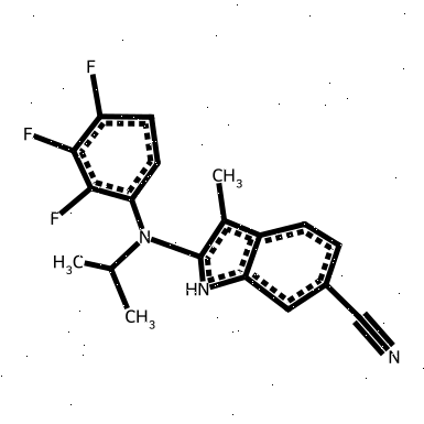 Cc1c(N(c2ccc(F)c(F)c2F)C(C)C)[nH]c2cc(C#N)ccc12